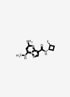 CNc1cc(N)nc2c(C(=O)N[C@H]3CC[C@@H]3F)cnn12